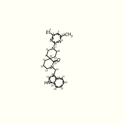 CCc1cc(C)nc(N2CCC3(CCCN(Cc4c[nH]c5ccccc45)C3=O)CC2)n1